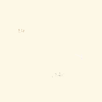 CC(=O)Oc1cc(Br)ccc1I